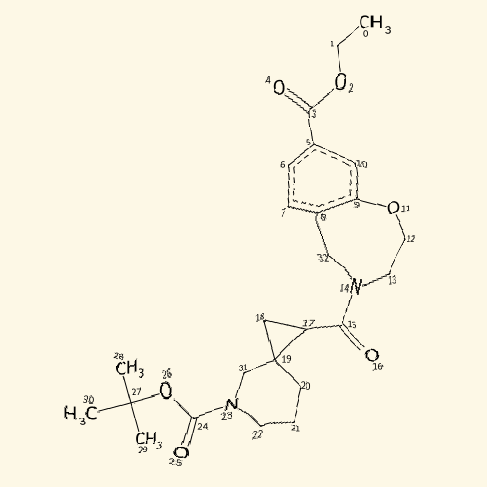 CCOC(=O)c1ccc2c(c1)OCCN(C(=O)C1CC13CCCN(C(=O)OC(C)(C)C)C3)C2